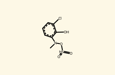 CN(O[SH](=O)=O)c1cccc(Cl)c1O